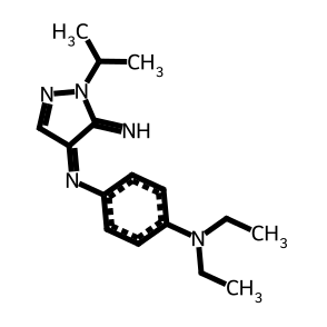 CCN(CC)c1ccc(N=C2C=NN(C(C)C)C2=N)cc1